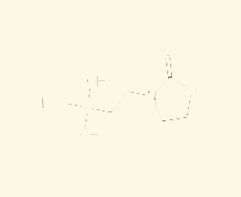 C[Si](C)(C)CCN1CCOC1=O